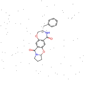 O=C1N[C@@H](Cc2ccccc2)COc2cc3c(cc21)OC1CCCN1C3=O